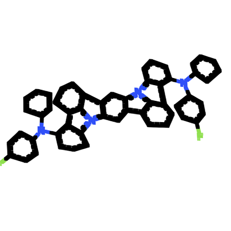 Fc1ccc(N(c2ccccc2)c2cccc3c2c2cccc4c5cc6c(cc5n3c42)c2cccc3c4c(N(c5ccccc5)c5ccc(F)cc5)cccc4n6c23)cc1